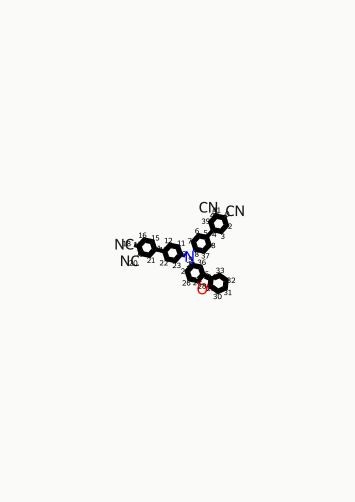 N#Cc1ccc(-c2ccc(N(c3ccc(-c4ccc(C#N)c(C#N)c4)cc3)c3ccc4oc5ccccc5c4c3)cc2)cc1C#N